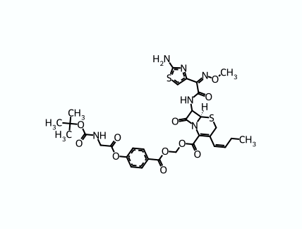 CC/C=C\C1=C(C(=O)OCOC(=O)c2ccc(OC(=O)CNC(=O)OC(C)(C)C)cc2)N2C(=O)C(NC(=O)/C(=N\OC)c3csc(N)n3)[C@H]2SC1